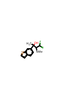 CNC(C(F)F)C(C)(O)c1ccc2ccsc2c1